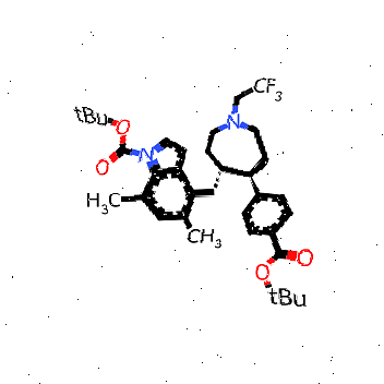 Cc1cc(C)c2c(ccn2C(=O)OC(C)(C)C)c1C[C@@H]1CCN(CC(F)(F)F)CC[C@H]1c1ccc(C(=O)OC(C)(C)C)cc1